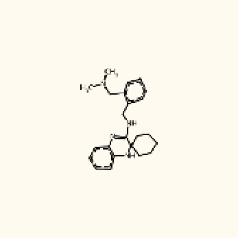 CN(C)Cc1ccccc1CNC1=Nc2ccccc2NC12CCCCC2